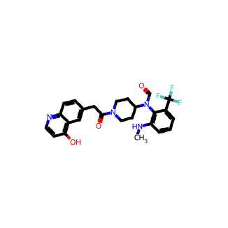 CNc1cccc(C(F)(F)F)c1N(C=O)C1CCN(C(=O)Cc2ccc3nccc(O)c3c2)CC1